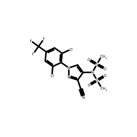 CS(=O)(=O)N(c1cn(-c2c(Cl)cc(C(F)(F)F)cc2Cl)nc1C#N)S(C)(=O)=O